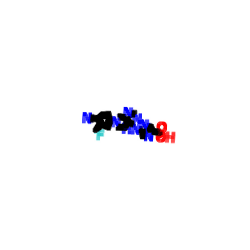 N#Cc1ccc(N2CCc3c(ncnc3Nc3cnc(C(=O)O)cn3)C2)cc1CF